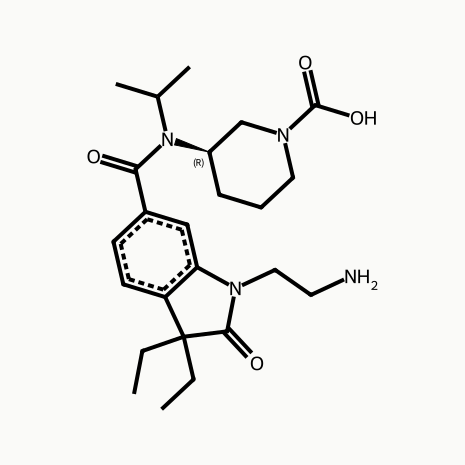 CCC1(CC)C(=O)N(CCN)c2cc(C(=O)N(C(C)C)[C@@H]3CCCN(C(=O)O)C3)ccc21